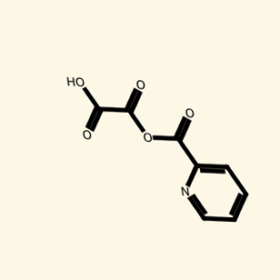 O=C(O)C(=O)OC(=O)c1ccccn1